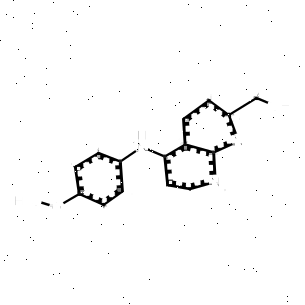 COc1ccc(Nc2ccnc3nc(CO)ccc23)cc1